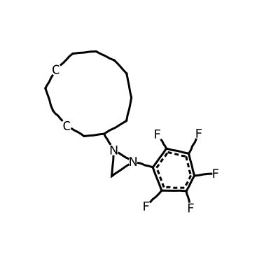 Fc1c(F)c(F)c(N2CN2C2CCCCCCCCCCC2)c(F)c1F